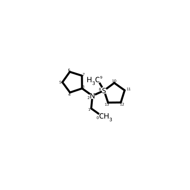 CCN(C1CCCC1)S1(C)CCCC1